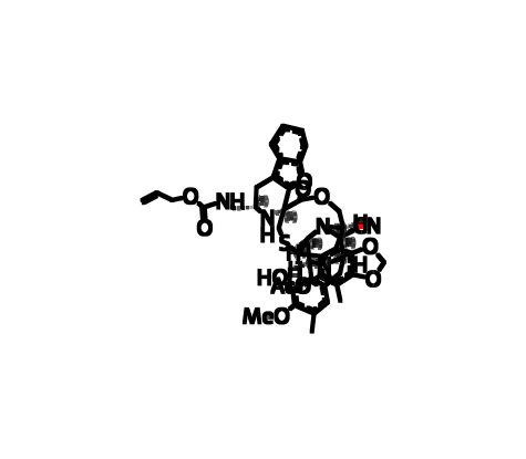 C=CCOC(=O)NC[C@@H]1Cc2c(oc3ccccc23)[C@@]2(CS[C@@H]3c4c(OC(C)=O)c(C)c5c(c4[C@H](COC2=O)N2[C@@H]3[C@@H]3c4c(cc(C)c(OC)c4O)C[C@H]([C@@H]2C#N)N3C)OCO5)N1